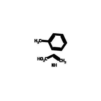 C=CC(=O)O.Cc1ccccc1.[KH]